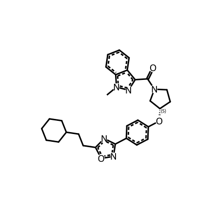 Cn1nc(C(=O)N2CC[C@H](Oc3ccc(-c4noc(CCC5CCCCC5)n4)cc3)C2)c2ccccc21